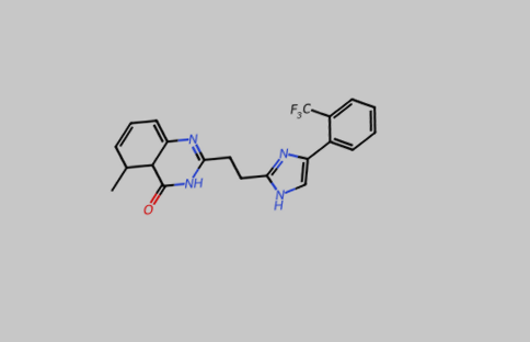 CC1C=CC=C2N=C(CCc3nc(-c4ccccc4C(F)(F)F)c[nH]3)NC(=O)C21